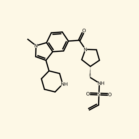 C=CS(=O)(=O)NC[C@H]1CCN(C(=O)c2ccc3c(c2)c(C2CCCNC2)cn3C)C1